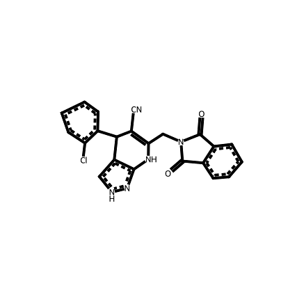 N#CC1=C(CN2C(=O)c3ccccc3C2=O)Nc2n[nH]cc2C1c1ccccc1Cl